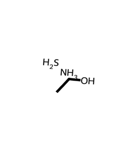 CCO.N.S